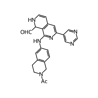 CC(=O)N1CCc2cc(Nc3nc(-c4cncnc4)cc4c3C(C=O)NC=C4)ccc2C1